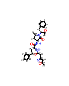 CC(=O)[C@H](Cc1ccccc1)N1C(=O)[C@@H](NC(=O)[C@H](CCc2ccccc2)NC(=O)Cc2cc(C)on2)CC1C